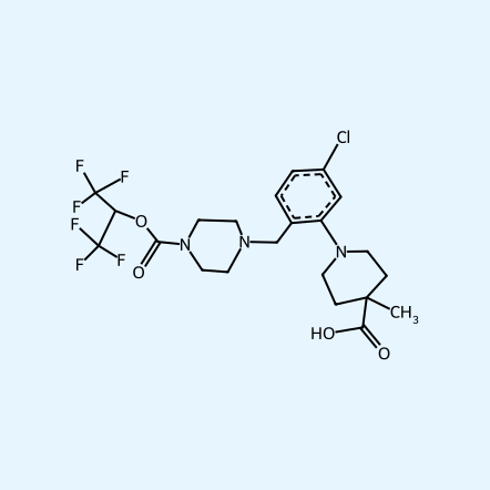 CC1(C(=O)O)CCN(c2cc(Cl)ccc2CN2CCN(C(=O)OC(C(F)(F)F)C(F)(F)F)CC2)CC1